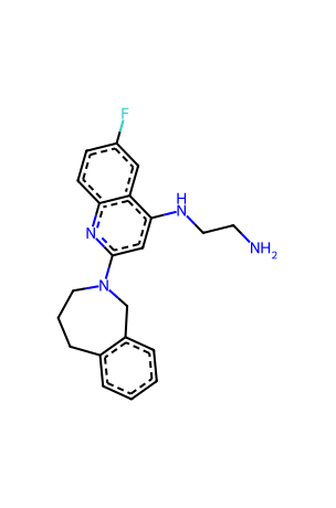 NCCNc1cc(N2CCCc3ccccc3C2)nc2ccc(F)cc12